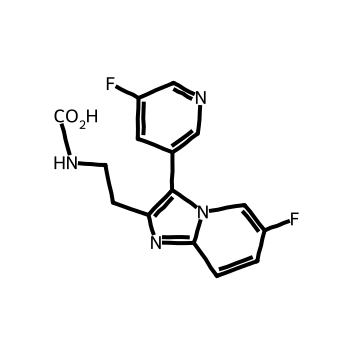 O=C(O)NCCc1nc2ccc(F)cn2c1-c1cncc(F)c1